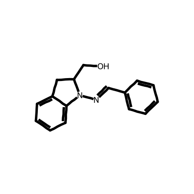 OCC1Cc2ccccc2N1/N=C/c1ccccc1